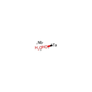 O.[Nb].[OH][Ta]